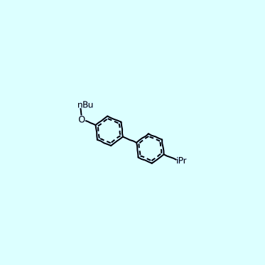 CCCCOc1ccc(-c2ccc(C(C)C)cc2)cc1